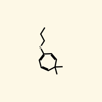 CCCSC1=CC=CC(C)(C)C=C1